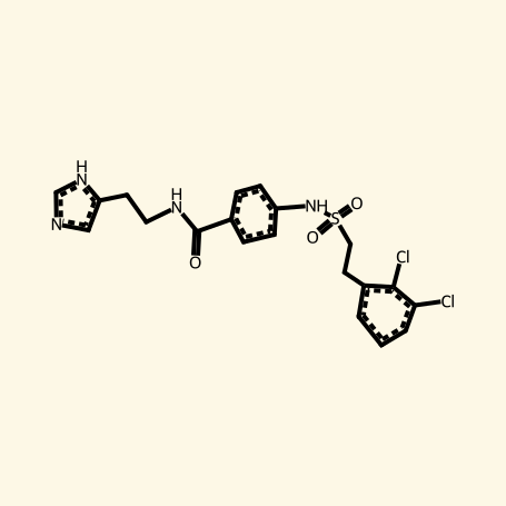 O=C(NCCc1cnc[nH]1)c1ccc(NS(=O)(=O)CCc2cccc(Cl)c2Cl)cc1